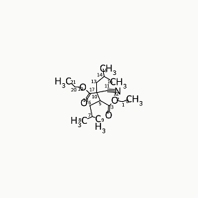 CCOC(=O)C(CC(C)C)C(C#N)(CC(C)C)C(=O)OCC